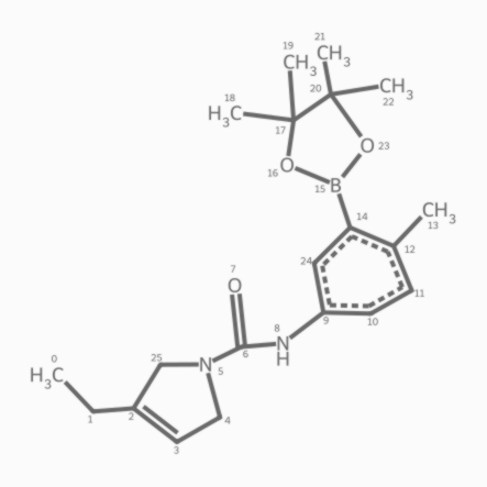 CCC1=CCN(C(=O)Nc2ccc(C)c(B3OC(C)(C)C(C)(C)O3)c2)C1